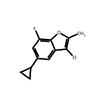 Cc1oc2c(F)cc(C3CC3)cc2c1Cl